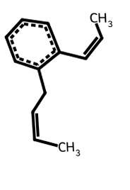 C/C=C\Cc1ccccc1/C=C\C